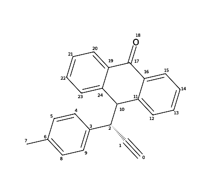 C#C[C@H](c1ccc(C)cc1)C1c2ccccc2C(=O)c2ccccc21